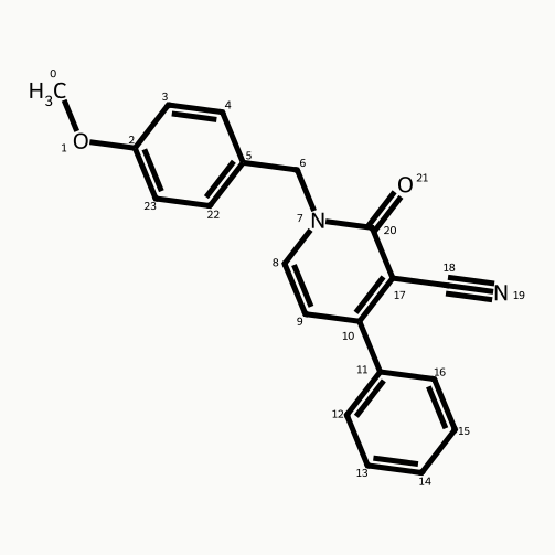 COc1ccc(Cn2ccc(-c3ccccc3)c(C#N)c2=O)cc1